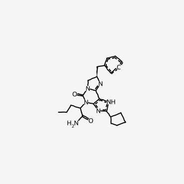 CCCC(C(N)=O)N1C(=O)N2C[C@@H](Cc3ccccc3)N=C2c2[nH]c(C3CCCC3)nc21